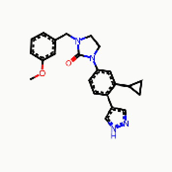 COc1cccc(CN2CCN(c3ccc(-c4cn[nH]c4)c(C4CC4)c3)C2=O)c1